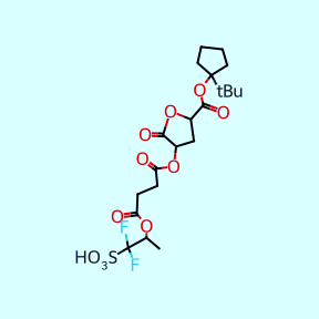 CC(OC(=O)CCC(=O)OC1CC(C(=O)OC2(C(C)(C)C)CCCC2)OC1=O)C(F)(F)S(=O)(=O)O